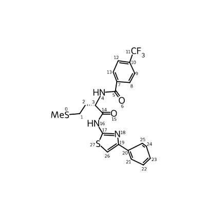 CSCC[C@H](NC(=O)c1ccc(C(F)(F)F)cc1)C(=O)Nc1nc(-c2ccccc2)cs1